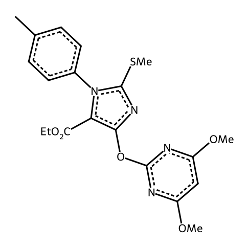 CCOC(=O)c1c(Oc2nc(OC)cc(OC)n2)nc(SC)n1-c1ccc(C)cc1